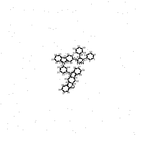 c1ccc(-c2nnn(-c3ccc4c5ccccc5n(-c5cccc(-n6c7ccccc7c7cc8oc9ccccc9c8cc76)c5)c4c3)c2-c2ccccc2)cc1